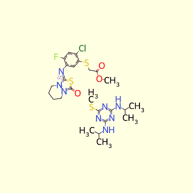 COC(=O)CSc1cc(/N=c2\sc(=O)n3n2CCCC3)c(F)cc1Cl.CSc1nc(NC(C)C)nc(NC(C)C)n1